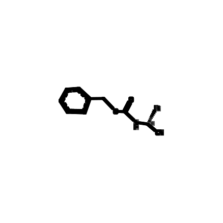 CC[C@H](C#N)NC(=O)OCc1ccccc1